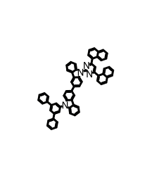 c1ccc(-c2cc(-c3ccccc3)cc(-n3c4ccccc4c4cc(-c5ccc6c(c5)c5ccccc5n6-c5nc(-c6cccc7ccccc67)cc(-c6cccc7ccccc67)n5)ccc43)c2)cc1